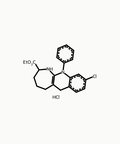 CCOC(=O)C1CCCC2=C(N1)N(c1ccccc1)c1cc(Cl)ccc1C2.Cl